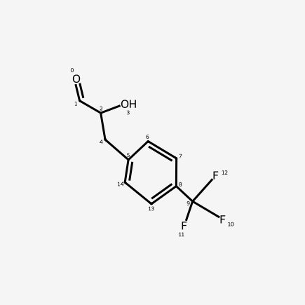 O=CC(O)Cc1ccc(C(F)(F)F)cc1